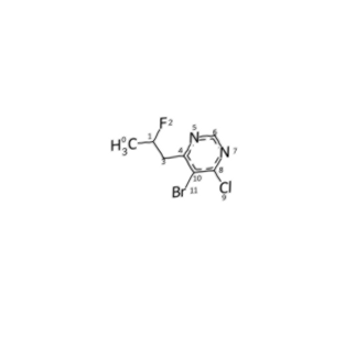 CC(F)Cc1ncnc(Cl)c1Br